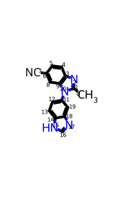 Cc1nc2ccc(C#N)cc2n1-c1ccc2[nH]cnc2c1